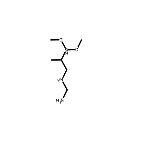 CO[SiH](OC)C(C)CNCN